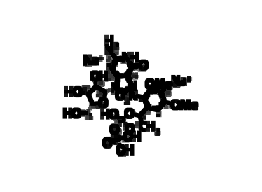 COc1cc(C(C)OP(=O)(O)OP(=O)(O)O)c([N+](=O)[O-])cc1OC.Nc1nc2c(ncn2[C@@H]2O[C@H](CO)[C@@H](O)[C@H]2O)c(=O)[nH]1.[Na+].[Na+]